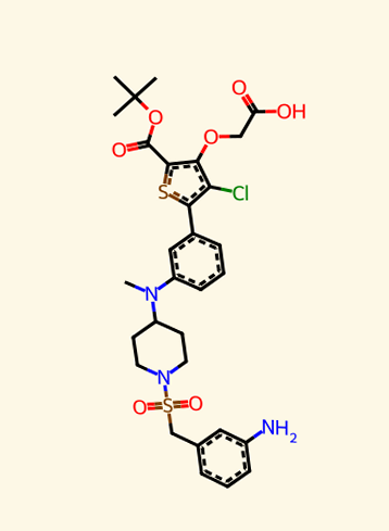 CN(c1cccc(-c2sc(C(=O)OC(C)(C)C)c(OCC(=O)O)c2Cl)c1)C1CCN(S(=O)(=O)Cc2cccc(N)c2)CC1